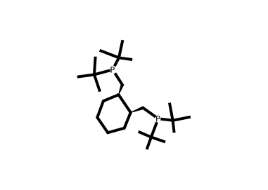 CC(C)(C)P(C[C@H]1CCCC[C@H]1CP(C(C)(C)C)C(C)(C)C)C(C)(C)C